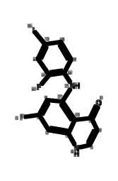 O=c1cc[nH]c2cc(F)cc(Nc3ccc(I)cc3F)c12